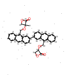 CC1(OCc2c3ccccc3cc3ccc(-c4ccc5cc6ccccc6c(COC6COC6=O)c5c4)cc23)COC1=O